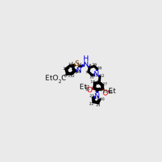 CCOC(=O)c1ccc2sc(NC3CCN(Cc4cc(OCC)c(-n5cccc5)c(OCC)c4)CC3)nc2c1